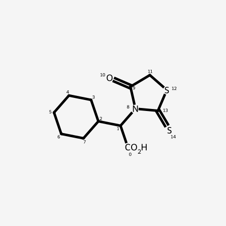 O=C(O)C(C1CCCCC1)N1C(=O)CSC1=S